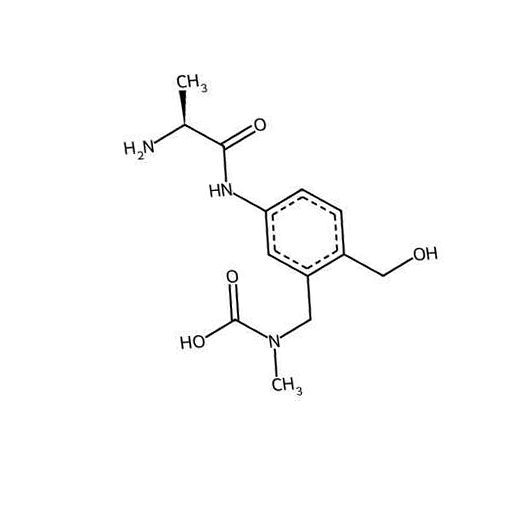 C[C@H](N)C(=O)Nc1ccc(CO)c(CN(C)C(=O)O)c1